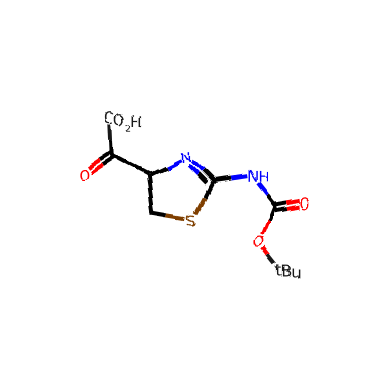 CC(C)(C)OC(=O)NC1=NC(C(=O)C(=O)O)CS1